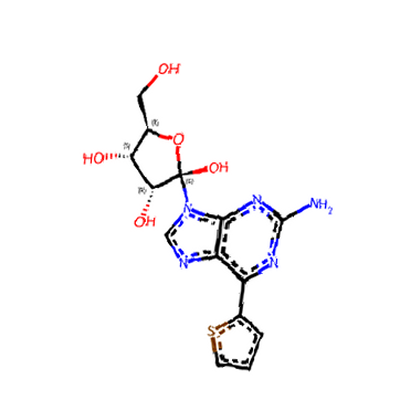 Nc1nc(-c2cccs2)c2ncn([C@@]3(O)O[C@H](CO)[C@@H](O)[C@H]3O)c2n1